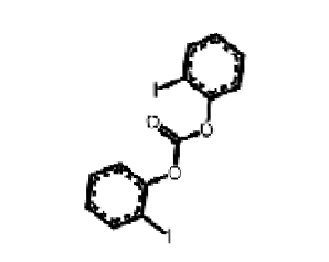 O=C(Oc1ccccc1I)Oc1ccccc1I